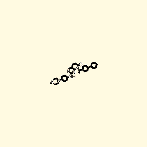 CC(c1ccc(-c2ccccc2)cc1)n1c(=O)ccc2cnc(Nc3ccc(N4CCN(C)CC4)cc3)nc21